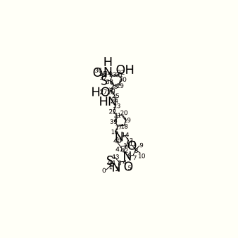 CC1=NC(C(=O)N2CC(C)(C)OC3(CCN(Cc4cccc(CCNC[C@H](O)c5ccc(O)c6[nH]c(=O)sc56)c4)CC3)C2)CS1